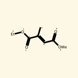 CCOC(=O)/C(C)=C/C(=O)OC